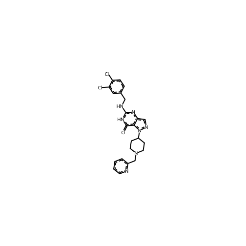 O=c1[nH]c(NCc2ccc(Cl)c(Cl)c2)nc2cnn(C3CCN(Cc4ccccn4)CC3)c12